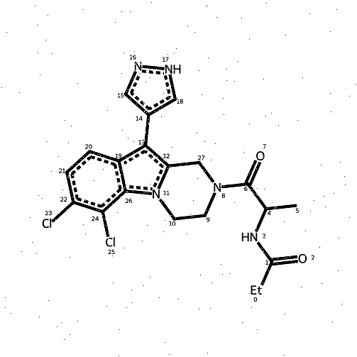 CCC(=O)NC(C)C(=O)N1CCn2c(c(-c3cn[nH]c3)c3ccc(Cl)c(Cl)c32)C1